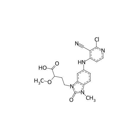 COC(CCn1c(=O)n(C)c2ccc(Nc3ccnc(Cl)c3C#N)cc21)C(=O)O